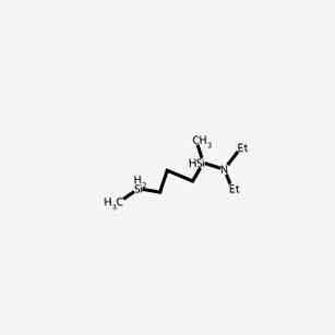 CCN(CC)[SiH](C)CCC[SiH2]C